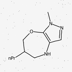 CCCC1CNc2cnn(C)c2OC1